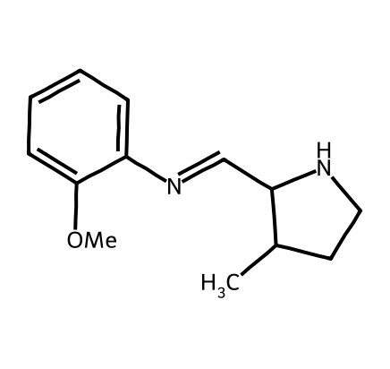 COc1ccccc1N=CC1NCCC1C